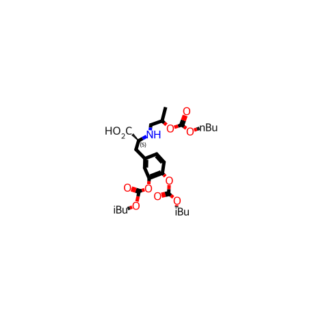 CCCCOC(=O)OC(C)CN[C@@H](Cc1ccc(OC(=O)OC(C)CC)c(OC(=O)OC(C)CC)c1)C(=O)O